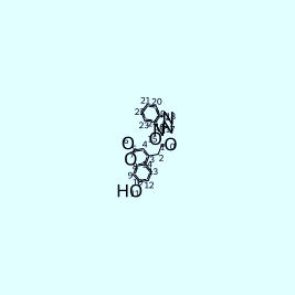 O=C(Cc1cc(=O)oc2cc(O)ccc12)On1nnc2ccccc21